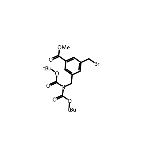 COC(=O)c1cc(CBr)cc(CN(C(=O)OC(C)(C)C)C(=O)OC(C)(C)C)c1